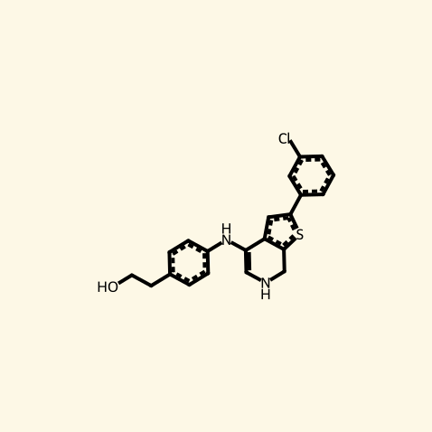 OCCc1ccc(NC2=CNCc3sc(-c4cccc(Cl)c4)cc32)cc1